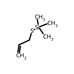 C=CCS[Si](C)(C)C